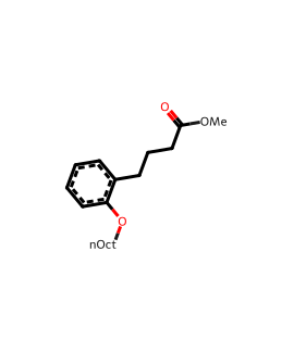 CCCCCCCCOc1ccccc1CCCC(=O)OC